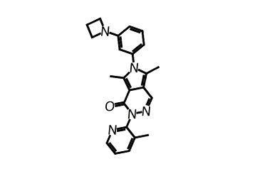 Cc1cccnc1-n1ncc2c(C)n(-c3cccc(N4CCC4)c3)c(C)c2c1=O